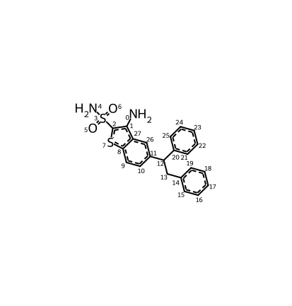 Nc1c(S(N)(=O)=O)sc2ccc(C(Cc3ccccc3)c3ccccc3)cc12